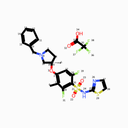 Cc1c(O[C@]2(C)CCN(Cc3ccccc3)C2)cc(F)c(S(=O)(=O)Nc2nccs2)c1F.O=C(O)C(F)(F)F